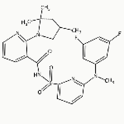 CC1CN(c2ncccc2C(=O)NS(=O)(=O)c2cccc(N(C)c3cc(F)cc(F)c3)n2)C(C)(C)C1